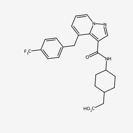 O=C(O)CC1CCC(NC(=O)c2cnn3cccc(Cc4ccc(C(F)(F)F)cc4)c23)CC1